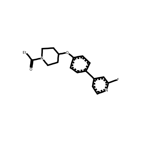 CCC(=O)N1CCC(Oc2ccc(-c3ccnc(F)c3)cc2)CC1